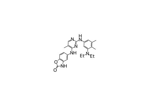 CCN(CC)c1cc(Nc2ncc(C)c(Nc3ccc4oc(=O)[nH]c4c3)n2)cc(C)c1C